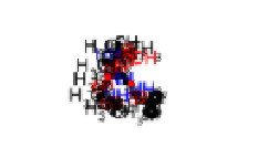 CC(OC(=O)C(NC(=O)C(OC(=O)C(CCCCNC(=O)OCC1c2ccccc2-c2ccccc21)NC(=O)C(C)OC(=O)C(NC(=O)OC(C)(C)C)C(C)C)C(C)C)C(C)C)C(=O)O